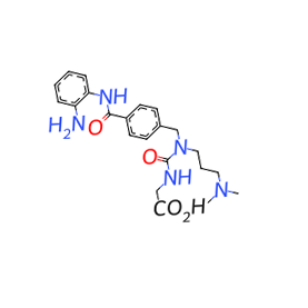 CN(C)CCCN(Cc1ccc(C(=O)Nc2ccccc2N)cc1)C(=O)NCC(=O)O